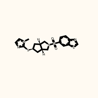 Cn1ccnc1S[C@H]1C[C@@H]2CN(S(=O)(=O)c3ccc4ncsc4c3)C[C@@H]2C1